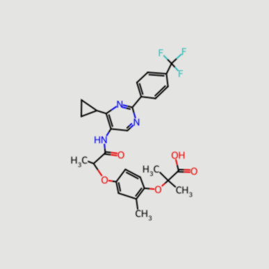 Cc1cc(OC(C)C(=O)Nc2cnc(-c3ccc(C(F)(F)F)cc3)nc2C2CC2)ccc1OC(C)(C)C(=O)O